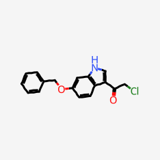 O=C(CCl)c1c[nH]c2cc(OCc3ccccc3)ccc12